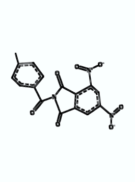 Cc1ccc(C(=O)N2C(=O)c3cc([N+](=O)[O-])cc([N+](=O)[O-])c3C2=O)cc1